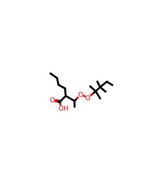 CCCCC(C(=O)O)C(C)OOC(C)(C)C(C)(C)CC